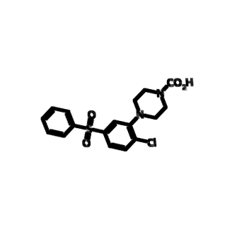 O=C(O)N1CCN(c2cc(S(=O)(=O)c3ccccc3)ccc2Cl)CC1